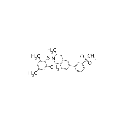 Cc1cc(C)c(SN2Cc3ccc(-c4cccc(S(C)(=O)=O)c4)cc3CC2C)c(C)c1